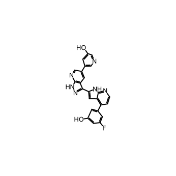 Oc1cncc(-c2cnc3[nH]nc(-c4cc5c(-c6cc(O)cc(F)c6)ccnc5[nH]4)c3c2)c1